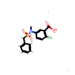 CN(c1ccc(Cl)c(C(=O)O)c1)S(=O)(=O)Cc1ccccc1